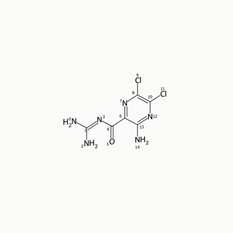 NC(N)=NC(=O)c1nc(Cl)c(Cl)nc1N